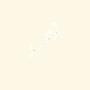 CCC(C)(C)OC(=O)CCCC(=O)O